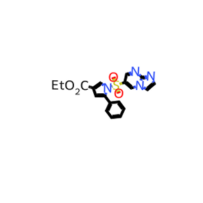 CCOC(=O)c1cc(-c2ccccc2)n(S(=O)(=O)c2cnc3nccn3c2)c1